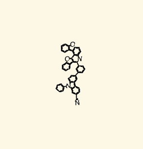 N#Cc1ccc2c3cc(-c4cccc(-c5nc6ccc7oc8ccccc8c7c6c6oc7ccccc7c56)c4)ccc3n(-c3ccccc3)c2c1